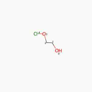 OCCOCl